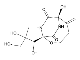 C=C1CCO[C@]2(C(O)C(C)(O)CO)NC(=O)[C@@]1(O)NC2=O